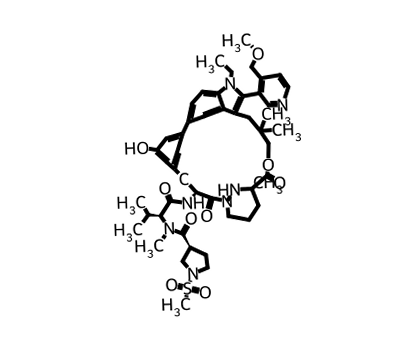 CCn1c(-c2cnccc2COC)c2c3cc(ccc31)-c1cc(O)cc(c1)C[C@H](NC(=O)[C@H](C(C)C)N(C)C(=O)[C@H]1CCN(S(C)(=O)=O)C1)C(=O)N1CCC[C@@](C)(N1)C(=O)OCC(C)(C)C2